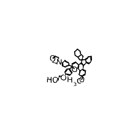 COc1ccc2c3c(c4c(c2c1)OC(c1ccc(OCCO)cc1)(c1ccc(N2CCOCC2)cc1)C=C4)C1(CC2CCCCC2C1)c1ccccc1-3